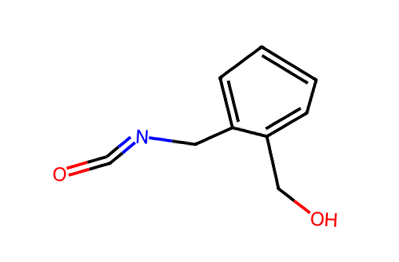 O=C=NCc1ccccc1CO